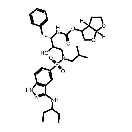 CCC(CC)Nc1n[nH]c2ccc(S(=O)(=O)N(CC(C)C)C[C@@H](O)[C@H](Cc3ccccc3)NC(=O)OC3CO[C@H]4OCC[C@@H]34)cc12